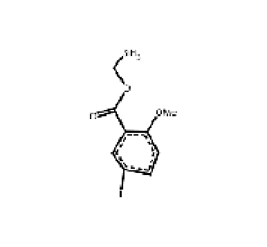 COc1ccc(I)cc1C(=O)OC[SiH3]